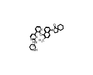 Cc1ccc2c(N3CCC4(CCCCC4)C3=O)cccc2c1Oc1ncccc1-c1ccnc(N[C@H]2CCCNC2)n1